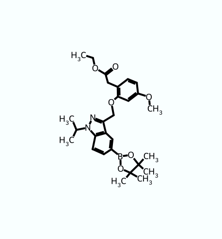 CCOC(=O)Cc1ccc(OC)cc1OCc1nn(C(C)C)c2ccc(B3OC(C)(C)C(C)(C)O3)cc12